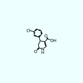 O=C1CC(c2cccc(Cl)c2)C(C(=O)O)=CN1